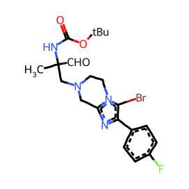 CC(C=O)(CN1CCn2c(nc(-c3ccc(F)cc3)c2Br)C1)NC(=O)OC(C)(C)C